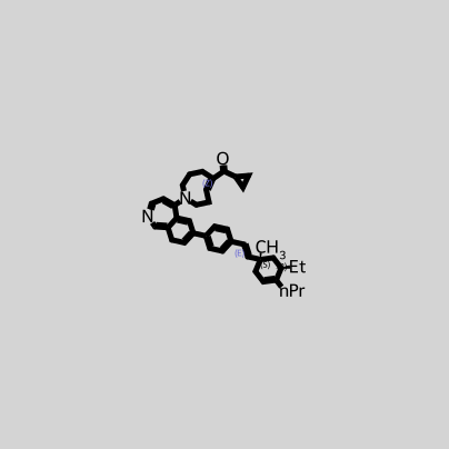 CCCC1=CC[C@@](C)(/C=C/c2ccc(C3=CCC4=CN=CC=C(N5CC/C=C(\C(=O)C6CC6)CCC5)C4=C3)cc2)C[C@H]1CC